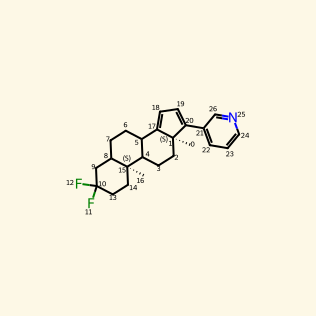 C[C@]12CCC3C(CCC4CC(F)(F)CC[C@@]43C)C1=CC=C2c1cccnc1